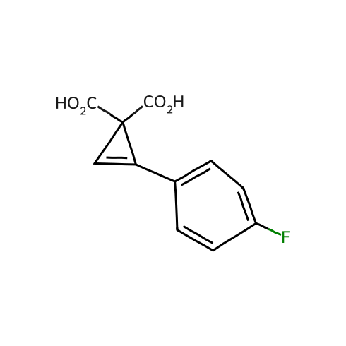 O=C(O)C1(C(=O)O)C=C1c1ccc(F)cc1